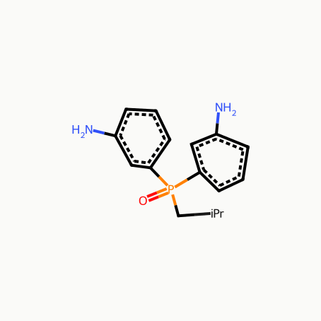 CC(C)CP(=O)(c1cccc(N)c1)c1cccc(N)c1